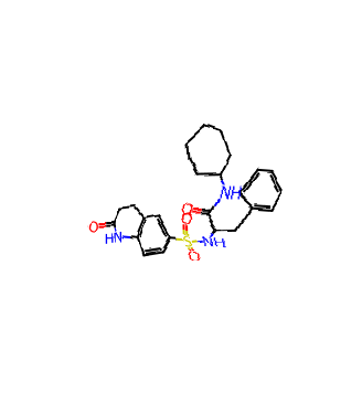 O=C1CCc2cc(S(=O)(=O)NC(Cc3ccccc3)C(=O)NC3CCCCCC3)ccc2N1